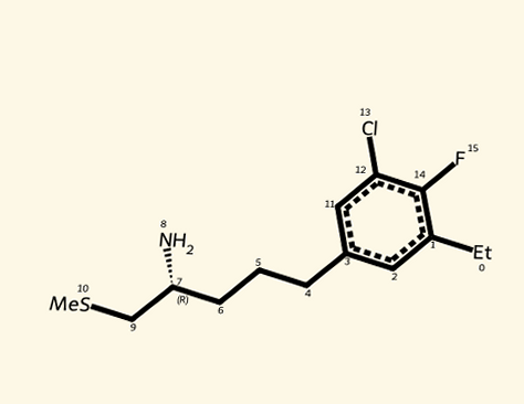 CCc1cc(CCC[C@@H](N)CSC)cc(Cl)c1F